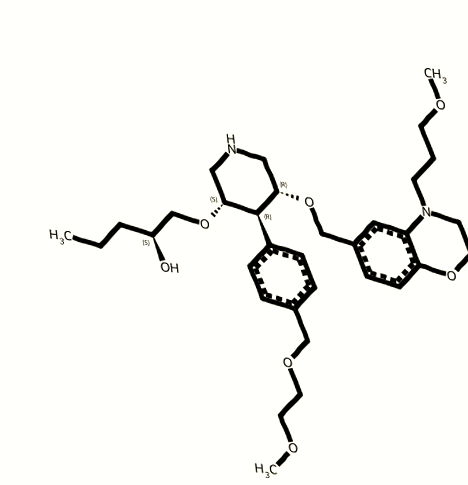 CCC[C@H](O)CO[C@@H]1CNC[C@H](OCc2ccc3c(c2)N(CCCOC)CCO3)[C@H]1c1ccc(COCCOC)cc1